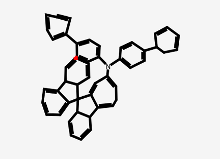 C1=CCC(c2ccc(N(C3=CCC=C4C(=C3)C3(c5ccccc5C5C=CC=CC53)C3C=CC=CC43)c3ccc(-c4ccccc4)cc3)cc2)C=C1